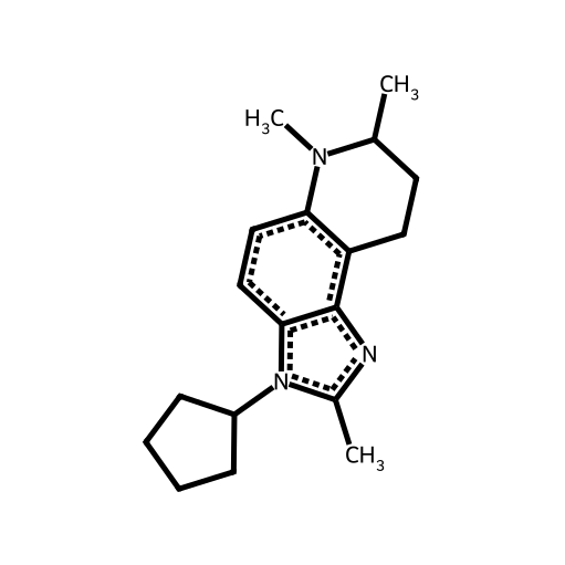 Cc1nc2c3c(ccc2n1C1CCCC1)N(C)C(C)CC3